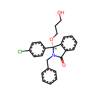 O=C1c2ccccc2[C@](OCCCO)(c2ccc(Cl)cc2)N1Cc1ccccc1